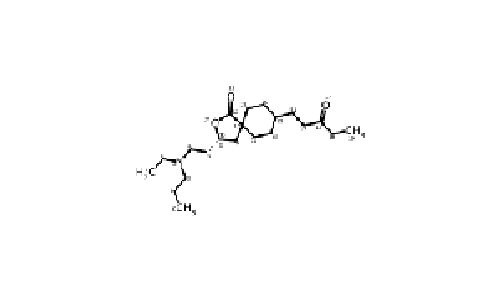 CCCN(CC)CC[C@H]1CC2(CCC(CCC(=O)CC)CC2)C(=O)O1